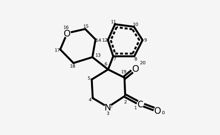 O=C=C1[N]CCC(c2ccccc2)(C2CCOCC2)C1=O